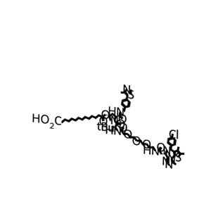 Cc1ncsc1-c1ccc(CNC(=O)[C@@H]2C[C@@H](OC(=O)CCCCCCCCCCCCC(=O)O)CN2C(=O)[C@@H](NC(=O)COCCOCCOCCNC(=O)C[C@@H]2N=C(c3ccc(Cl)cc3)c3c(sc(C)c3C)-n3c(C)nnc32)C(C)(C)C)cc1